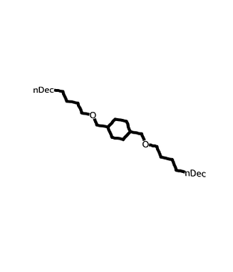 CCCCCCCCCCCCCCOCC1CCC(COCCCCCCCCCCCCCC)CC1